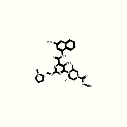 COc1cc(NC(=O)c2nc(OC[C@@H]3CCCN3C)nc(N3[C@@H](C)CN(C(=O)OC(C)(C)C)C[C@@H]3C)c2N)c2ccccc2c1